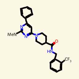 CNc1nc(-c2ccccc2)cc(N2CCC(C(=O)NCc3ccccc3C(F)(F)F)CC2)n1